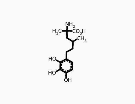 CC(CCc1ccc(O)c(O)c1O)CC(C)(N)C(=O)O